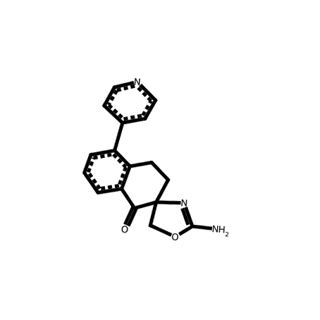 NC1=NC2(CCc3c(cccc3-c3ccncc3)C2=O)CO1